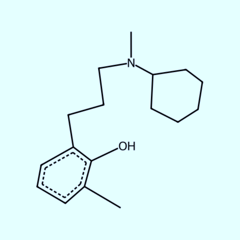 Cc1cccc(CCCN(C)C2CCCCC2)c1O